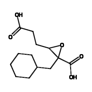 O=C(O)CCC1OC1(CC1CCCCC1)C(=O)O